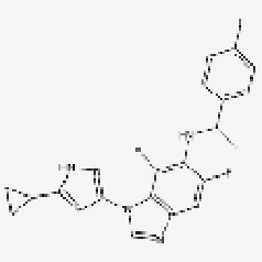 C[C@H](Nc1c(F)cc2ncn(-c3cc(C4CC4)[nH]n3)c2c1F)c1ccc(F)cc1